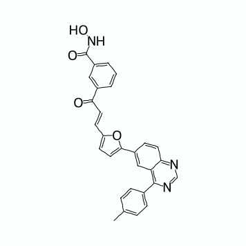 Cc1ccc(-c2ncnc3ccc(-c4ccc(C=CC(=O)c5cccc(C(=O)NO)c5)o4)cc23)cc1